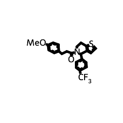 COc1ccc(CCC(=O)N2CCc3sccc3C2c2ccc(C(F)(F)F)cc2)cc1